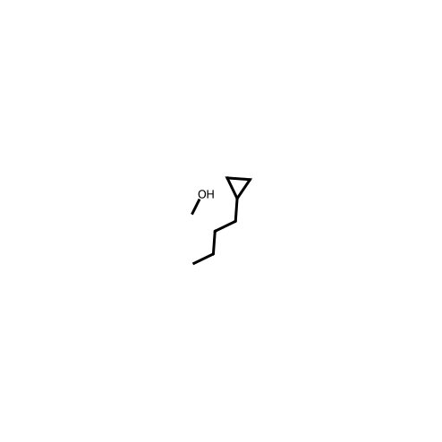 CCCCC1CC1.CO